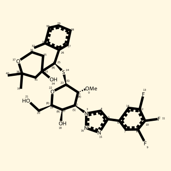 CO[C@@H]1[C@@H](n2cc(-c3cc(F)c(F)c(F)c3)nn2)[C@@H](O)[C@@H](CO)O[C@H]1S[C@H](c1ccccc1C)C1(O)CCOC(C)(C)C1